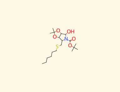 CCCCCCSCC1C2OC(C)(C)OC2C(O)N1C(=O)OC(C)(C)C